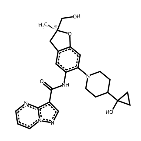 C[C@@]1(CO)Cc2cc(NC(=O)c3cnn4cccnc34)c(N3CCC(C4(O)CC4)CC3)cc2O1